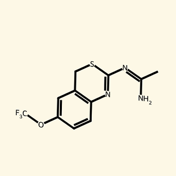 CC(N)=NC1=Nc2ccc(OC(F)(F)F)cc2CS1